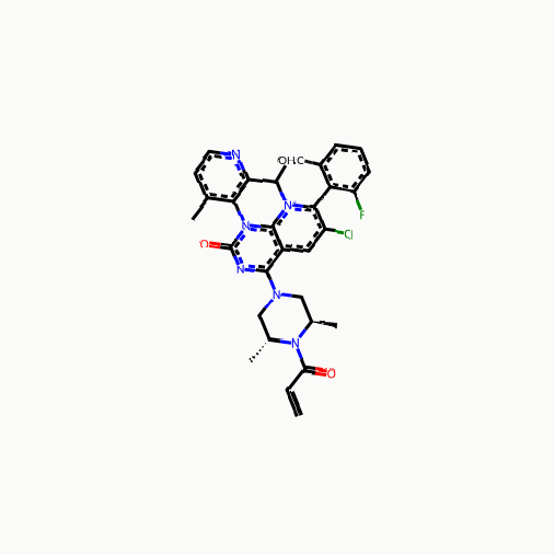 C=CC(=O)N1[C@H](C)CN(c2nc(=O)n3c4c2cc(Cl)c(-c2c(F)cccc2C=O)[n+]4C(C)c2nccc(C)c2-3)C[C@H]1C